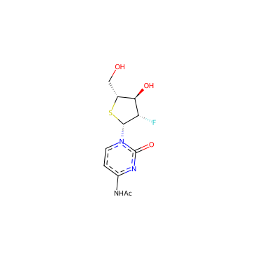 CC(=O)Nc1ccn([C@@H]2S[C@H](CO)[C@@H](O)[C@@H]2F)c(=O)n1